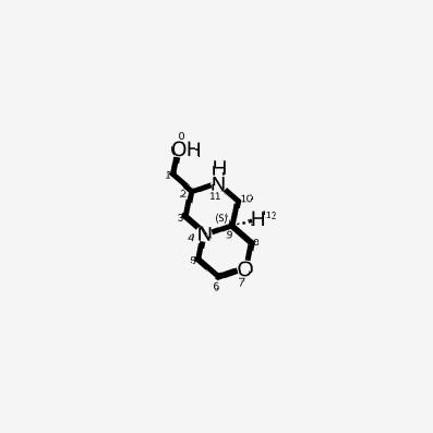 OCC1CN2CCOC[C@@H]2CN1